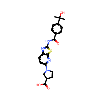 CC(C)(O)c1ccc(C(=O)Nc2nc3ccc(N4CCC(C(=O)O)C4)nc3s2)cc1